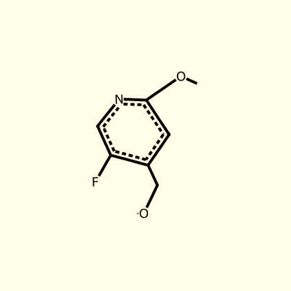 COc1cc(C[O])c(F)cn1